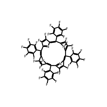 FC1=C(F)c2nc1c(-c1c(F)c(F)c(F)c(F)c1F)c1c(F)c(F)c(c(-c3c(F)c(F)c(F)c(F)c3F)c3nc(c(-c4c(F)c(F)c(F)c(F)c4F)c4c(F)c(F)c(c2-c2c(F)c(F)c(F)c(F)c2F)n4F)C(F)=C3F)n1F